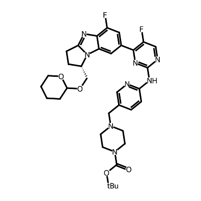 CC(C)(C)OC(=O)N1CCN(Cc2ccc(Nc3ncc(F)c(-c4cc(F)c5nc6n(c5c4)[C@H](COC4CCCCO4)CC6)n3)nc2)CC1